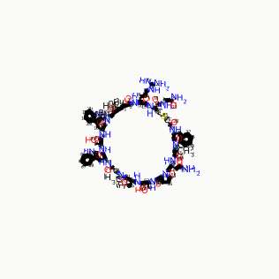 CCCC[C@H]1C(=O)N[C@@H](CCCNC(=N)N)C(=O)N[C@H](C(=O)NCC(N)=O)CSCC(=O)N[C@@H](Cc2ccccc2)C(=O)N(C)[C@@H](C)C(=O)N[C@@H](CC(N)=O)C(=O)N2CCC[C@H]2C(=O)N[C@@H](CO)C(=O)N[C@@H](CC(C)C)C(=O)N(C)CC(=O)N[C@@H](Cc2c[nH]c3ccccc23)C(=O)N[C@@H](CO)C(=O)N[C@@H](Cc2c[nH]c3ccccc23)C(=O)N(C)[C@@H](CCCC)C(=O)C1C